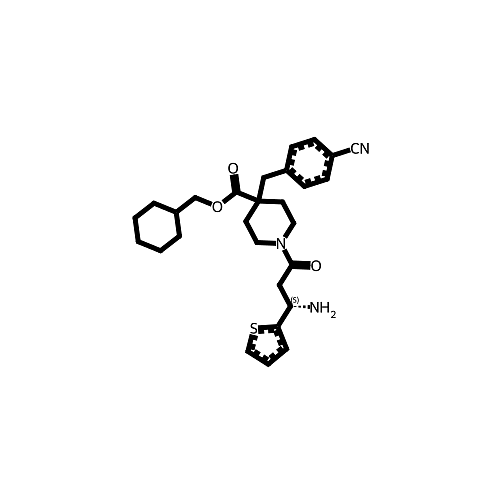 N#Cc1ccc(CC2(C(=O)OCC3CCCCC3)CCN(C(=O)C[C@H](N)c3cccs3)CC2)cc1